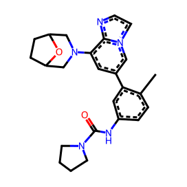 Cc1ccc(NC(=O)N2CCCC2)cc1-c1cc(N2CC3CCC(C2)O3)c2nccn2c1